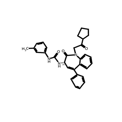 Cc1cccc(NC(=O)N[C@H]2C=C(c3ccccc3)c3ccccc3N(CC(=O)C3CCCC3)C2=O)c1